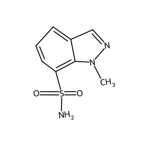 Cn1ncc2cccc(S(N)(=O)=O)c21